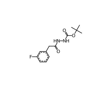 CC(C)(C)OC(=O)NNC(=O)Cc1cccc(F)c1